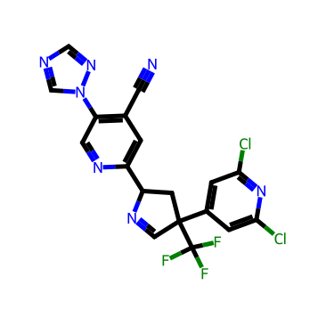 N#Cc1cc(C2CC(c3cc(Cl)nc(Cl)c3)(C(F)(F)F)C=N2)ncc1-n1cncn1